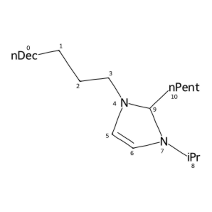 CCCCCCCCCCCCCN1C=CN(C(C)C)C1CCCCC